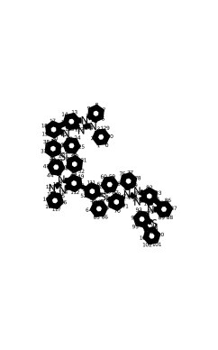 c1ccc(-n2c3ccccc3n3c4ccc5c6ccccc6n(-c6cccc([Si](c7ccccc7)(c7ccccc7)c7cccc(-n8c9ccc(-c%10ccc([Si](c%11ccccc%11)(c%11ccccc%11)c%11cccc(-n%12c%13ccccc%13n%13c%14ccc%15c%16ccccc%16n(-c%16cccc%17c%16sc%16ccccc%16%17)c%15c%14nc%12%13)c%11)cc%10)cc9n9c%10ccccc%10nc89)c7)c6)c5c4nc23)cc1